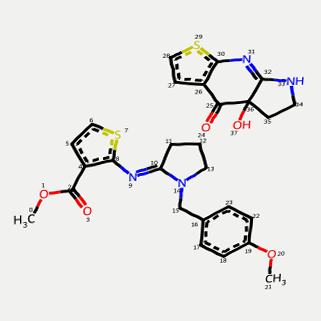 COC(=O)c1ccsc1/N=C1\CCCN1Cc1ccc(OC)cc1.O=C1c2ccsc2N=C2NCCC12O